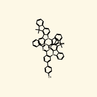 CC1(C)c2ccccc2-c2ccc3c(c21)c1ccccc1n3-c1ccc(C#N)cc1-c1nc(-c2ccccc2)nc(-c2ccc(-c3ccc(C#N)cc3)cc2-n2c3ccccc3c3c4c(ccc32)-c2ccccc2C4(C)C)n1